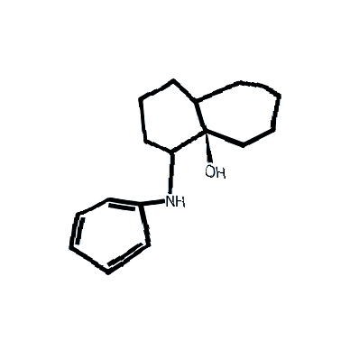 O[C@]12CCCCC1CCCC2Nc1ccccc1